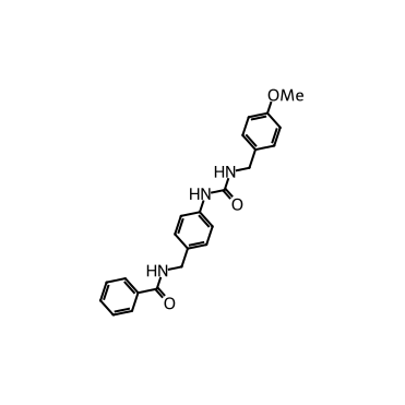 COc1ccc(CNC(=O)Nc2ccc(CNC(=O)c3ccccc3)cc2)cc1